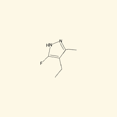 CCc1c(C)n[nH]c1F